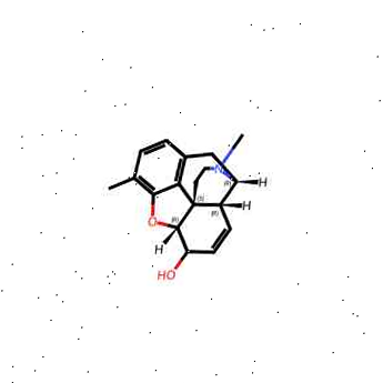 Cc1ccc2c3c1O[C@H]1C(O)C=C[C@H]4[C@@H](C2)N(C)CC[C@]314